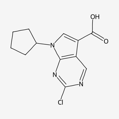 O=C(O)c1cn(C2CCCC2)c2nc(Cl)ncc12